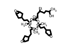 CCC(CCC(C)O)CC[Si]1(C)O[Si](C)(CCC2CC3OC3C2)O[Si](C)(CCC2CC3OC3C2)O[Si](C)(CCC2CC3OC3C2)O1